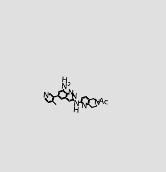 CC(=O)N1CCc2nc(Nc3cc4cc(-c5cnccc5C)cc(N)c4nn3)ccc2C1